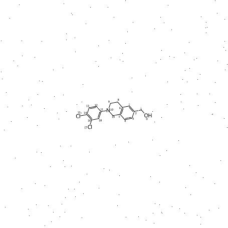 OCc1ccc2c(c1)CCN(c1ccc(Cl)c(Cl)c1)C2